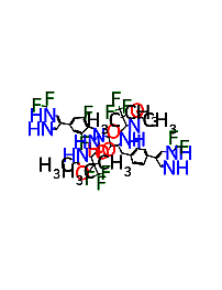 CC(=O)N[C@H](C(=O)N[C@@H](Cc1ccc(/C(C=N)=C/NC(F)F)cc1)[C@@H](O)CN(Cc1c(F)cc(/C(C=N)=C/NC(F)F)cc1F)NC(=O)[C@@H](NC(C)=O)C(C)(C)C(F)(F)F)C(C)(C)C(F)(F)F